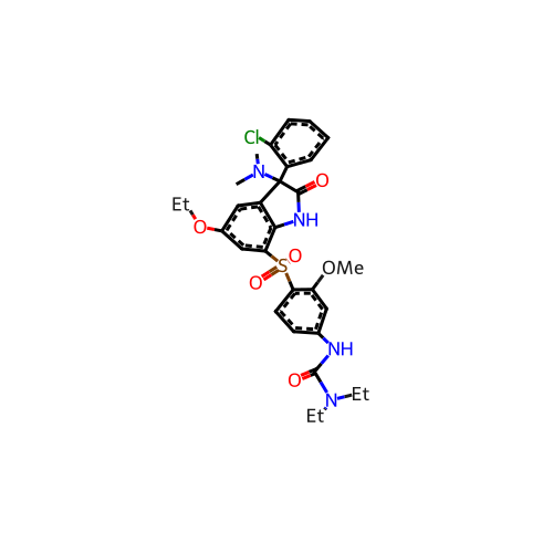 CCOc1cc2c(c(S(=O)(=O)c3ccc(NC(=O)N(CC)CC)cc3OC)c1)NC(=O)C2(c1ccccc1Cl)N(C)C